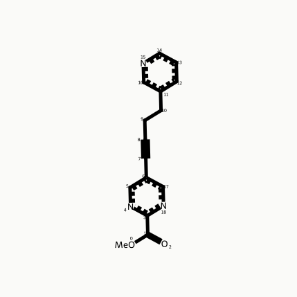 COC(=O)c1ncc(C#CCCc2cccnc2)cn1